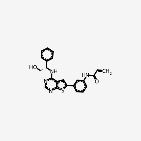 C=CC(=O)Nc1cccc(-c2cc3c(N[C@H](CO)c4ccccc4)ncnc3s2)c1